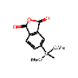 CO[Si](C)(OC)c1ccc2c(c1)C(=O)OC2=O